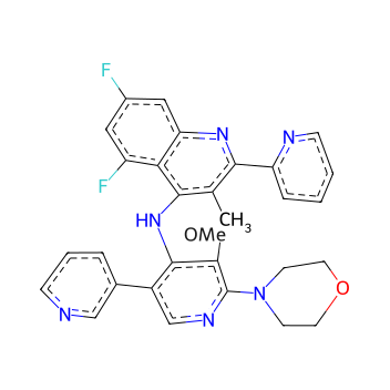 COc1c(N2CCOCC2)ncc(-c2cccnc2)c1Nc1c(C)c(-c2ccccn2)nc2cc(F)cc(F)c12